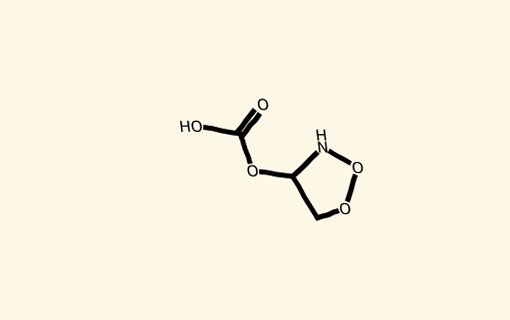 O=C(O)OC1COON1